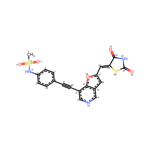 CS(=O)(=O)Nc1ccc(C#Cc2cncc3cc(/C=C4\SC(=O)NC4=O)oc23)cc1